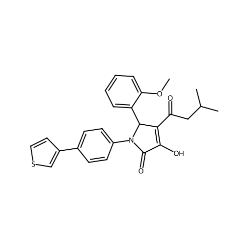 COc1ccccc1C1C(C(=O)CC(C)C)=C(O)C(=O)N1c1ccc(-c2ccsc2)cc1